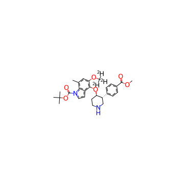 [2H]C([2H])([2H])Oc1cc(C)c2c(ccn2C(=O)OC(C)(C)C)c1O[C@@H]1CCNC[C@H]1c1ccc(C(=O)OC)cc1